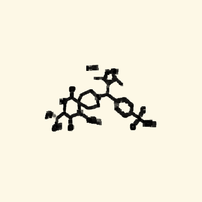 CCCCN1C(=O)[C@@H]([C@H](O)C(C)C)NC(=O)C12CCN(C(c1ccc(S(=O)(=O)NC)cc1)c1c(C)n[nH]c1C)CC2.Cl